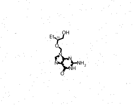 CC[C@@H](CO)OCn1cnc2c(=O)[nH]c(N)nc21